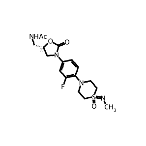 CN=S1(=O)CCN(c2ccc(N3C[C@H](CNC(C)=O)OC3=O)cc2F)CC1